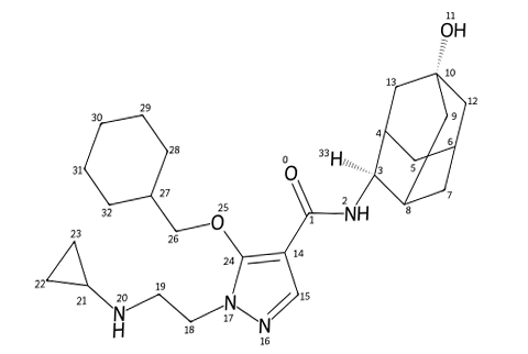 O=C(N[C@H]1C2CC3CC1C[C@](O)(C3)C2)c1cnn(CCNC2CC2)c1OCC1CCCCC1